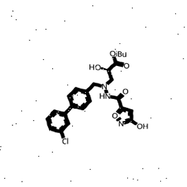 CC(C)COC(=O)[C@H](O)CN(Cc1ccc(-c2cccc(Cl)c2)cc1)NC(=O)c1cc(O)no1